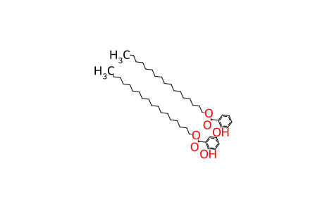 CCCCCCCCCCCCCCCCCCOC(=O)c1ccccc1O.CCCCCCCCCCCCCCCCCOC(=O)c1ccccc1O